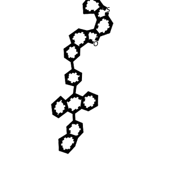 c1ccc2cc(-c3c4ccccc4c(-c4ccc(-c5ccc6ccc7c(oc8ccc9sc%10ccccc%10c9c87)c6c5)cc4)c4ccccc34)ccc2c1